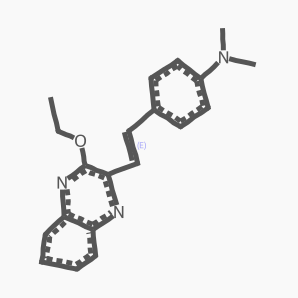 CCOc1nc2ccccc2nc1/C=C/c1ccc(N(C)C)cc1